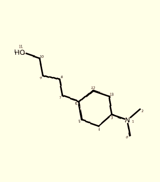 CN(C)C1CCC(CCCCO)CC1